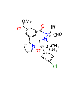 COC(=O)c1cc(C(=O)N([C@@H](C=O)C(C)C)N2CC[C@](O)(c3ccc(Cl)cc3)C(C)(C)C2)cc(-c2ccccn2)c1